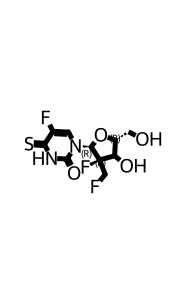 O=c1[nH]c(=S)c(F)cn1[C@@H]1O[C@H](CO)C(O)[C@]1(F)CF